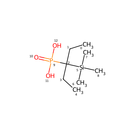 CCC(CC)([Si](C)(C)C)P(=O)(O)O